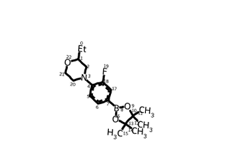 CCC1CN(c2ccc(B3OC(C)(C)C(C)(C)O3)cc2F)CCO1